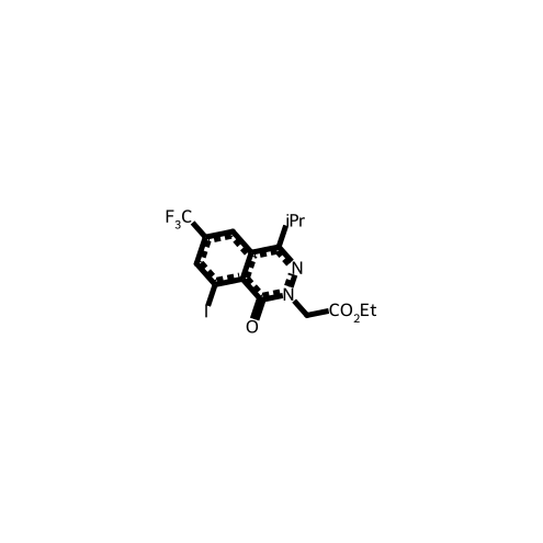 CCOC(=O)Cn1nc(C(C)C)c2cc(C(F)(F)F)cc(I)c2c1=O